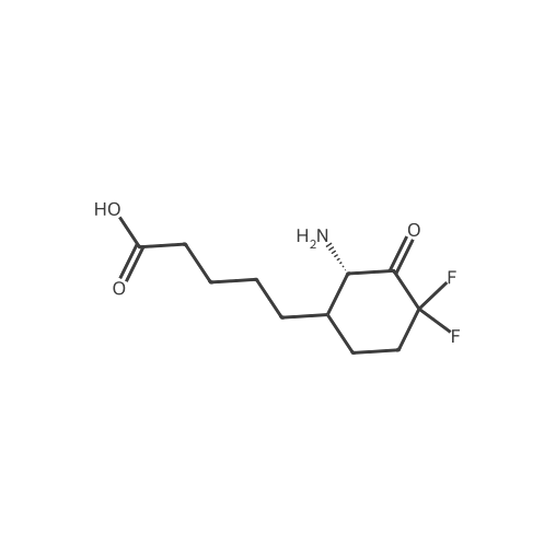 N[C@@H]1C(=O)C(F)(F)CCC1CCCCC(=O)O